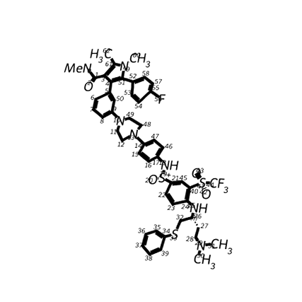 CNC(=O)c1c(-c2cccc(N3CCN(c4ccc(N[S+]([O-])c5ccc(N[C@H](CCN(C)C)CSc6ccccc6)c(S(=O)(=O)C(F)(F)F)c5)cc4)CC3)c2)c(-c2ccc(F)cc2)n(C)c1C